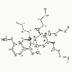 CCCCOC[C@H]1S[C@]2(OCc3c2ccc2c(CO)cccc32)[C@H](OCCCC)[C@@H](OCCCC)[C@@H]1OCCCC